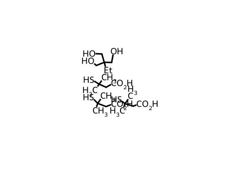 CC(C)(S)CC(=O)O.CC(C)(S)CC(=O)O.CC(C)(S)CC(=O)O.CCC(CO)(CO)CO